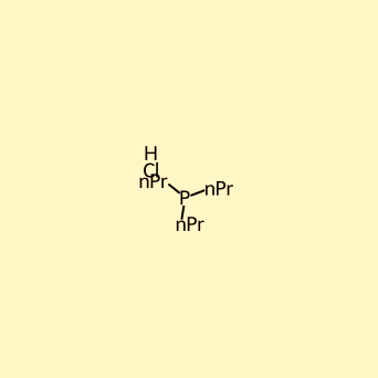 CCCP(CCC)CCC.Cl